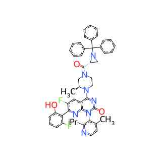 Cc1ccnc(C(C)C)c1-n1c(=O)nc(N2CCN(C(=O)[C@H]3CN3C(c3ccccc3)(c3ccccc3)c3ccccc3)C[C@@H]2C)c2cc(F)c(-c3c(O)cccc3F)nc21